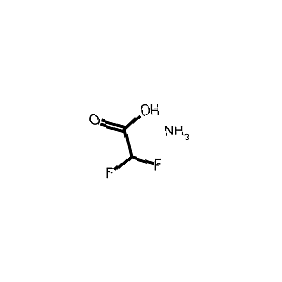 N.O=C(O)C(F)F